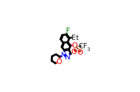 CCc1c(F)ccc2cc3c(cnn3C3CCCCO3)c(OS(=O)(=O)C(F)(F)F)c12